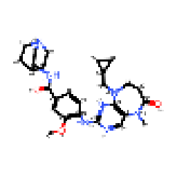 COc1cc(C(=O)NC2CN3CCC2CC3)ccc1Nc1ncc2c(n1)N(CC1CC1)CCC(=O)N2C